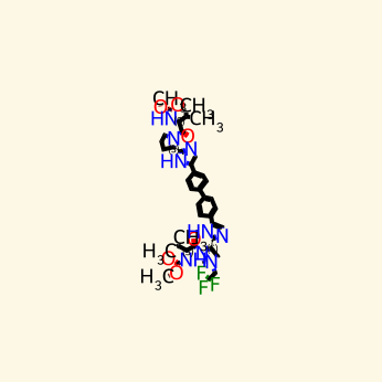 COC(=O)N[C@H](C(=O)N1CCC[C@H]1C1=NCC(c2ccc(-c3ccc(-c4cnc([C@@H]5CN(CC(F)(F)F)CN5C(=O)[C@@H](NC(=O)OC)C(C)C)[nH]4)cc3)cc2)N1)C(C)C